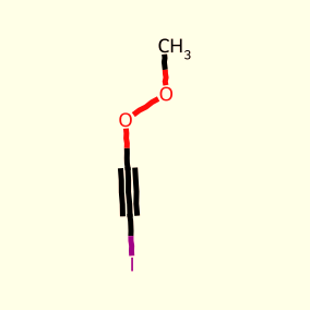 COOC#CI